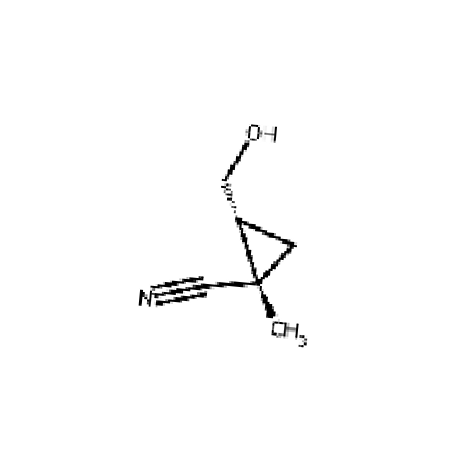 C[C@]1(C#N)C[C@H]1CO